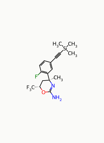 C[C@@]1(c2cc(C#C[Si](C)(C)C)ccc2F)C[C@@H](C(F)(F)F)OC(N)=N1